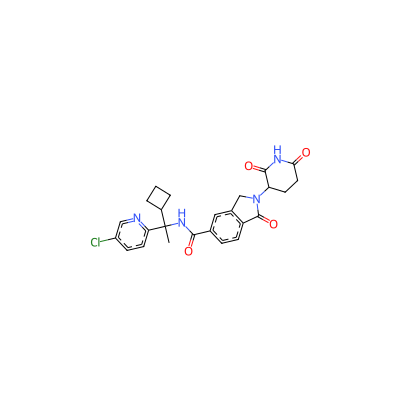 CC(NC(=O)c1ccc2c(c1)CN(C1CCC(=O)NC1=O)C2=O)(c1ccc(Cl)cn1)C1CCC1